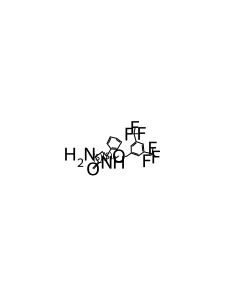 N[C@H]1C[C@@](COCc2cc(C(F)(F)F)cc(C(F)(F)F)c2)(c2ccccc2)NC1=O